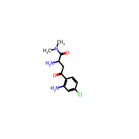 CN(C)C(=O)C(N)CC(=O)c1ccc(Cl)cc1N